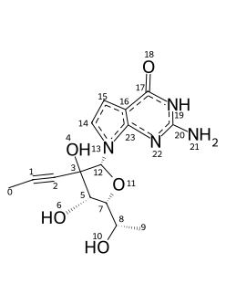 CC#CC1(O)[C@@H](O)[C@@H]([C@H](C)O)O[C@H]1n1ccc2c(=O)[nH]c(N)nc21